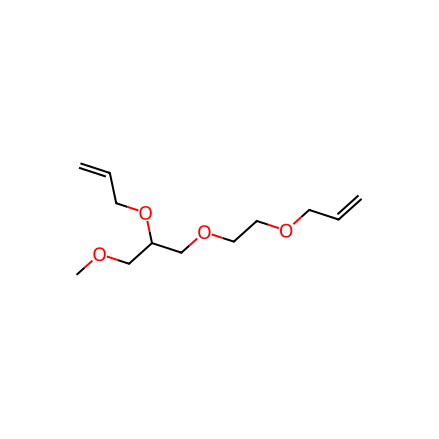 C=CCOCCOCC(COC)OCC=C